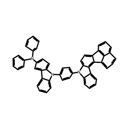 c1ccc(N(c2ccccc2)c2ccc3c(c2)c2ccccc2n3-c2ccc(-n3c4ccccc4c4c5c(ccc43)-c3cccc4cccc-5c34)cc2)cc1